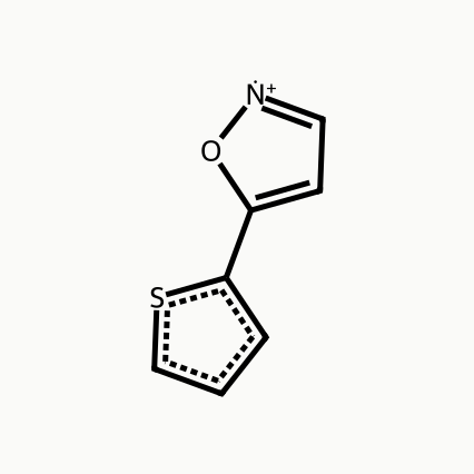 C1=[N+]OC(c2cccs2)=C1